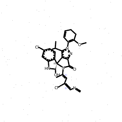 C=N/C=C(Cl)\C=C(/C)N1C(=O)c2nn(C3=C(OC)CCC=C3)c(C(C)C)c2[C@]12c1ccc(Cl)cc1NC2O